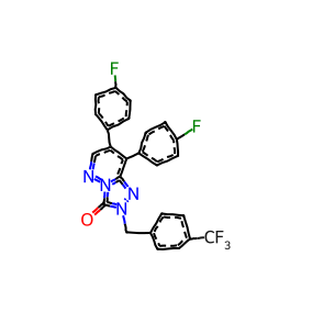 O=c1n(Cc2ccc(C(F)(F)F)cc2)nc2c(-c3ccc(F)cc3)c(-c3ccc(F)cc3)cnn12